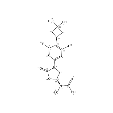 CN(C(=O)O)[C@@H]1CN(c2cc(F)c(C3CC(C)(O)C3)c(F)c2)C(=O)O1